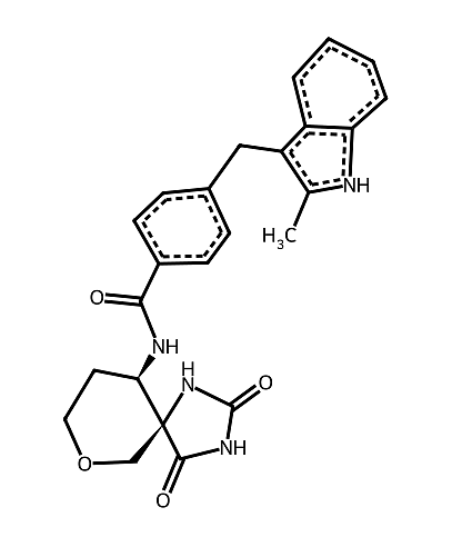 Cc1[nH]c2ccccc2c1Cc1ccc(C(=O)N[C@@H]2CCOC[C@]23NC(=O)NC3=O)cc1